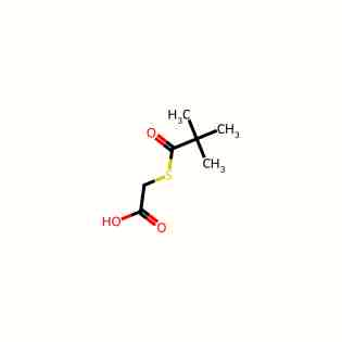 CC(C)(C)C(=O)SCC(=O)O